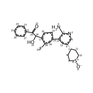 Nc1ncc([C@H]2CC[S@+]([O-])CC2)cc1-c1ccc(C(O)C(=O)c2ccccc2)c(F)c1